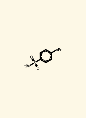 CCCc1ccc(S(=O)(=O)C(C)(C)C)cc1